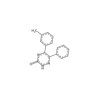 Cc1cccc(-c2nc(=O)[nH]nc2-c2ccccc2)c1